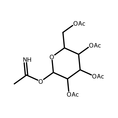 CC(=N)OC1OC(COC(C)=O)C(OC(C)=O)C(OC(C)=O)C1OC(C)=O